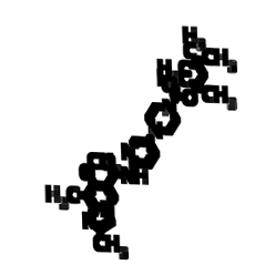 COc1c(C(=O)Nc2ccc(N3CCN(C(=O)OC(C)(C)CC(C)(C)C)CC3)cn2)cn2cc(C)nc2c1C